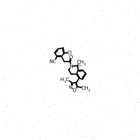 Cc1noc(C)c1-c1cccc2c1CCN(C(=O)Cc1c(Cl)cccc1C#N)[C@H]2C